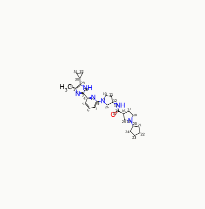 Cc1nc(-c2cccc(N3CC[C@@H](NC(=O)[C@H]4CCN(C5CCCC5)C4)C3)n2)[nH]c1C1CC1